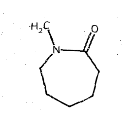 [CH2]N1CCCCCC1=O